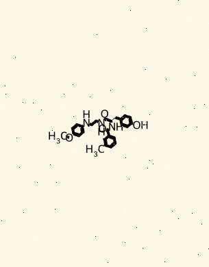 COc1ccc(NCCNC(=O)[C@H](Cc2ccc(O)cc2)NC(=O)c2cccc(C)c2)cc1